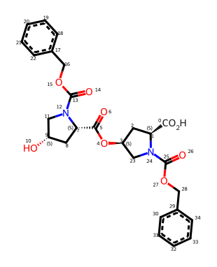 O=C(O)[C@@H]1C[C@H](OC(=O)[C@@H]2C[C@H](O)CN2C(=O)OCc2ccccc2)CN1C(=O)OCc1ccccc1